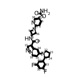 NS(=O)(=O)c1ccc(N2CC(NC(=O)c3cnn4ccc(N5CCCC5c5cc(F)cc(F)c5)cc34)C2)nc1